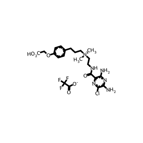 C[N+](C)(CCCc1ccc(OCC(=O)O)cc1)CCNC(=O)c1nc(Cl)c(N)nc1N.O=C([O-])C(F)(F)F